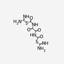 N=C(N)SC(=O)NC(=O)C(=O)NC(=O)SC(=N)N